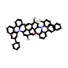 Cc1ccc(-c2ccccc2)cc1N(c1c(C)cccc1-c1ccccc1)c1cc(C(C)C)c2ccc3c(N(c4cc(-c5ccccc5)ccc4C)c4c(C)cccc4-c4ccccc4)cc(C(C)C)c4ccc1c2c43